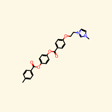 Cc1ccc(C(=O)Oc2ccc(OC(=O)c3ccc(OCC[n+]4ccn(C)c4)cc3)cc2)cc1